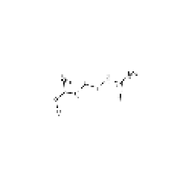 CCOC(C)OCCNC(=S)SC